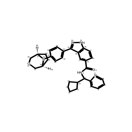 O=C(NC(c1ccccn1)C1CCCC1)c1ccc2[nH]nc(-c3ccc(N4[C@@H]5CC[C@H]4COC5)cc3)c2c1